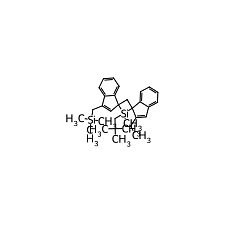 CCC1=Cc2ccccc2C12CC1(C=C(C[Si](C)(C)C)c3ccccc31)[Si]2(C)CC(C)(C)C